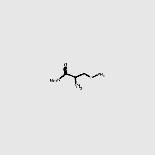 CNC(=O)C(N)COP